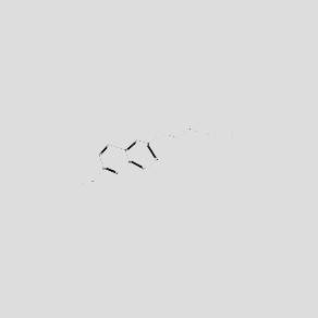 CCOC(=O)CCSc1ccc2cc(Cl)ccc2c1